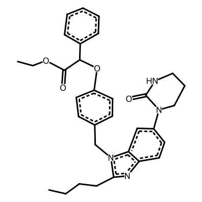 CCCCc1nc2ccc(N3CCCNC3=O)cc2n1Cc1ccc(OC(C(=O)OCC)c2ccccc2)cc1